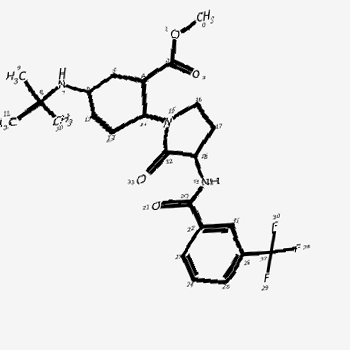 COC(=O)C1CC(NC(C)(C)C)CCC1N1CCC(NC(=O)c2cccc(C(F)(F)F)c2)C1=O